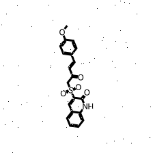 COc1ccc(C=CC(=O)CS(=O)(=O)c2cc3ccccc3[nH]c2=O)cc1